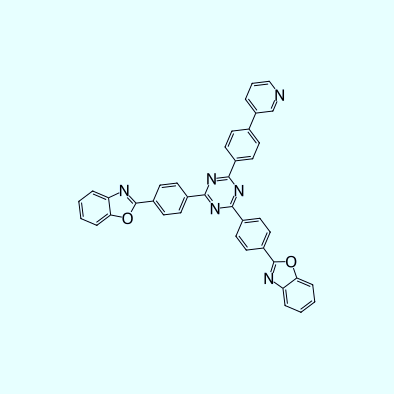 c1cncc(-c2ccc(-c3nc(-c4ccc(-c5nc6ccccc6o5)cc4)nc(-c4ccc(-c5nc6ccccc6o5)cc4)n3)cc2)c1